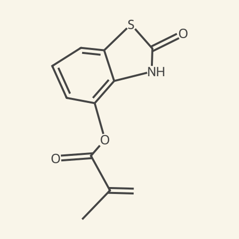 C=C(C)C(=O)Oc1cccc2sc(=O)[nH]c12